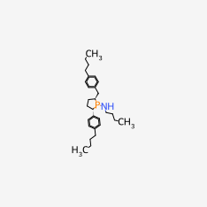 CCCCNP1[C@H](Cc2ccc(CCCC)cc2)CC[C@H]1c1ccc(CCCC)cc1